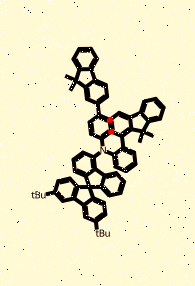 CC(C)(C)c1ccc2c(c1)-c1cc(C(C)(C)C)ccc1C21c2ccccc2-c2c(N(c3ccc(-c4ccc5c(c4)C(C)(C)c4ccccc4-5)cc3)c3ccccc3-c3cccc4c3C(C)(C)c3ccccc3-4)cccc21